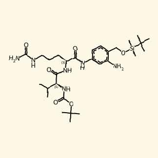 CC(C)[C@H](NC(=O)OC(C)(C)C)C(=O)N[C@@H](CCCNC(N)=O)C(=O)Nc1ccc(CO[Si](C)(C)C(C)(C)C)c(N)c1